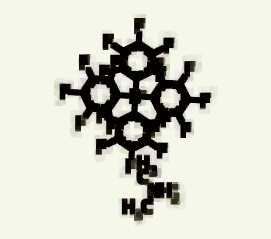 C[NH2+]C.Fc1c(F)c(F)c([B-](c2c(F)c(F)c(F)c(F)c2F)(c2c(F)c(F)c(F)c(F)c2F)c2c(F)c(F)c(F)c(F)c2F)c(F)c1F